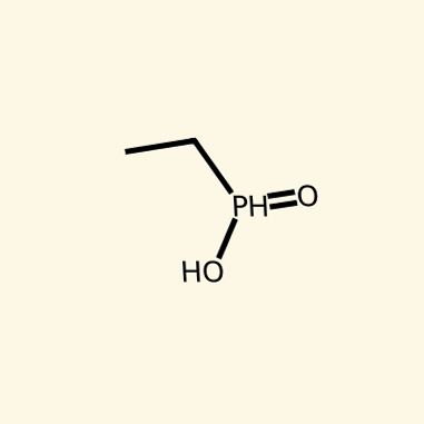 CC[PH](=O)O